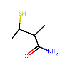 CC(S)C(C)C(N)=O